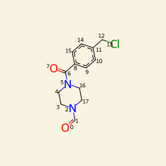 O=CN1CCN(C(=O)c2ccc(CCl)cc2)CC1